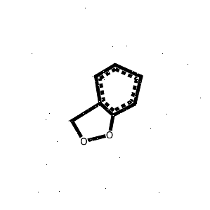 [c]1cccc2c1[CH]OO2